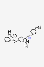 CN(C)Cc1ccc(/C=C/c2n[nH]c3cc(C4CC45C(=O)Nc4ccccc45)ccc23)cc1